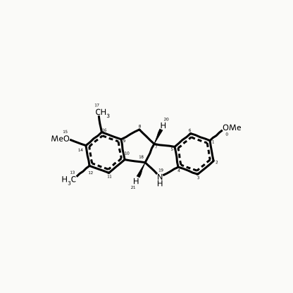 COc1ccc2c(c1)[C@H]1Cc3c(cc(C)c(OC)c3C)[C@H]1N2